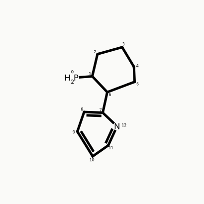 PC1CCCCC1c1ccccn1